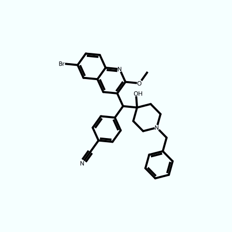 COc1nc2ccc(Br)cc2cc1C(c1ccc(C#N)cc1)C1(O)CCN(Cc2ccccc2)CC1